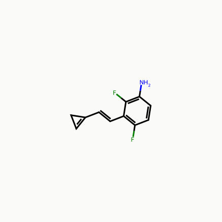 Nc1ccc(F)c(C=CC2=CC2)c1F